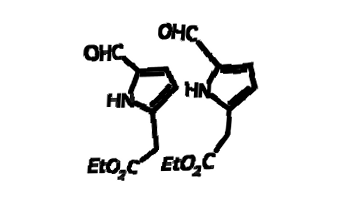 CCOC(=O)Cc1ccc(C=O)[nH]1.CCOC(=O)Cc1ccc(C=O)[nH]1